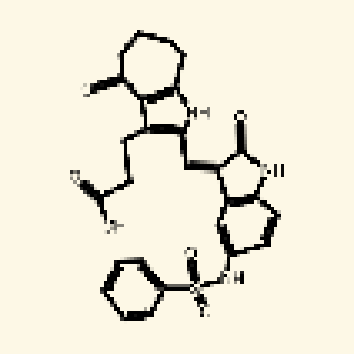 O=C(O)CCc1c(C=C2C(=O)Nc3ccc(NS(=O)(=O)c4ccccc4)cc32)[nH]c2c1C(=O)CCCC2